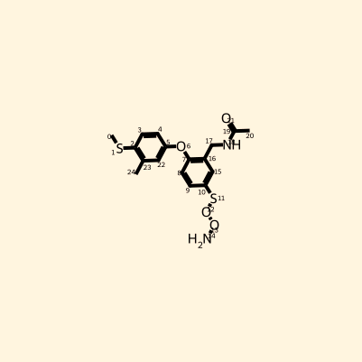 CSc1ccc(Oc2ccc(SOON)cc2CNC(C)=O)cc1C